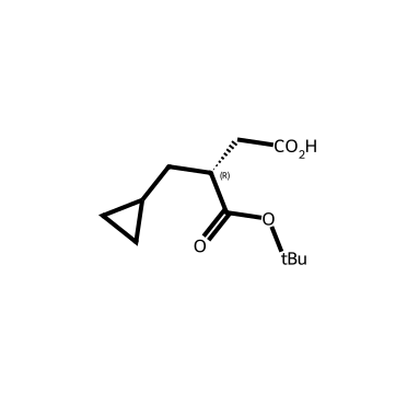 CC(C)(C)OC(=O)[C@@H](CC(=O)O)CC1CC1